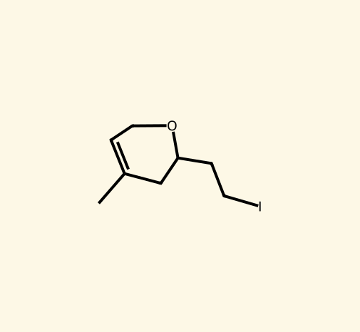 CC1=CCOC(CCI)C1